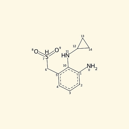 Nc1cccc(C[SH](=O)=O)c1NC1CC1